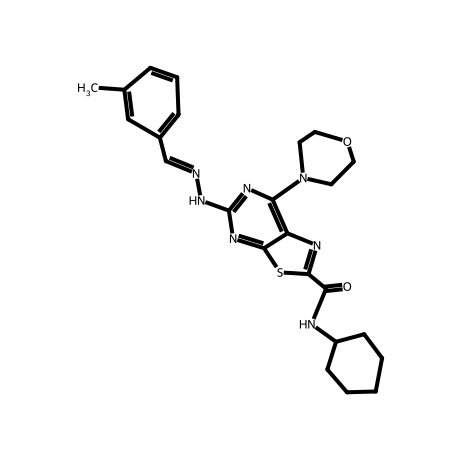 Cc1cccc(/C=N/Nc2nc(N3CCOCC3)c3nc(C(=O)NC4CCCCC4)sc3n2)c1